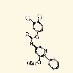 CCCCOc1cc(=NC(=O)Oc2ccc(Cl)c(Cl)c2)cnn1-c1ccccc1